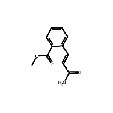 COC(=O)c1ccccc1/C=C/C(N)=O